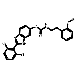 CCOc1ccccc1CCNC(=O)Oc1ccc2nc(-c3c(Cl)cccc3Cl)[nH]c2c1